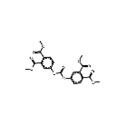 COC(=O)c1ccc(OC(=O)Oc2ccc(C(=O)OC)c(C(=O)OC)c2)cc1C(=O)OC